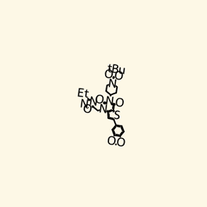 CCc1noc(Cn2c(=O)n(C3CCN(C(=O)OC(C)(C)C)CC3)c(=O)c3sc(-c4ccc5c(c4)OCO5)cc32)n1